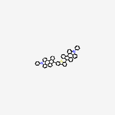 c1ccc(-n2c3ccccc3c3c(-c4c5ccccc5c(-c5ccc6c(c5)sc5c(-c7c8ccccc8c(-c8cccc9c8c8ccccc8n9-c8ccccc8)c8ccccc78)cccc56)c5ccccc45)cccc32)cc1